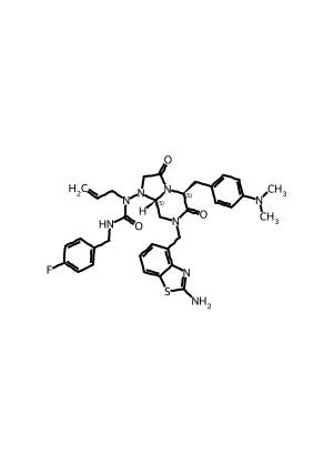 C=CCN(C(=O)NCc1ccc(F)cc1)N1CC(=O)N2[C@@H](Cc3ccc(N(C)C)cc3)C(=O)N(Cc3cccc4sc(N)nc34)C[C@@H]21